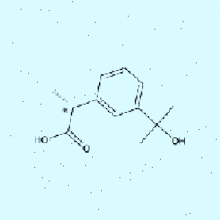 C[C@@H](C(=O)O)c1cccc(C(C)(C)O)c1